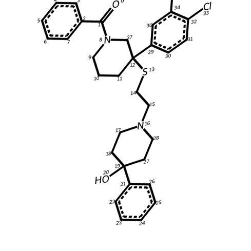 O=C(c1ccccc1)N1CCCC(SCCN2CCC(O)(c3ccccc3)CC2)(c2ccc(Cl)c(Cl)c2)C1